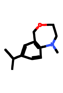 CC(C)c1ccc2c(c1)COCCN2C